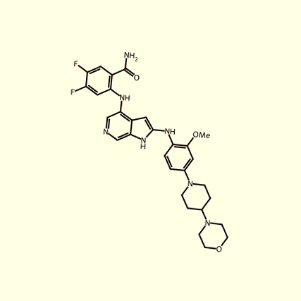 COc1cc(N2CCC(N3CCOCC3)CC2)ccc1Nc1cc2c(Nc3cc(F)c(F)cc3C(N)=O)cncc2[nH]1